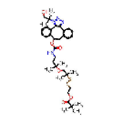 CC(C)(CCNC(=O)OC1Cc2ccccc2-c2nnn(C(C)(C)CO)c2-c2ccccc21)OCC(C)(C)SSCCOC(=O)C(C)(C)C